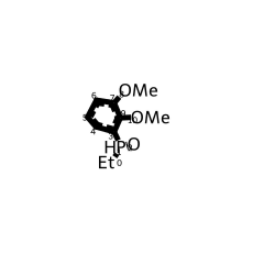 CC[PH](=O)c1cccc(OC)c1OC